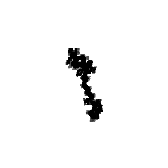 O=S(=O)(NCCCCCCNc1nsc2nccn12)c1ccc(C(F)(F)F)cc1